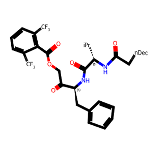 CCCCCCCCCCCC(=O)N[C@H](C(=O)N[C@@H](Cc1ccccc1)C(=O)COC(=O)c1c(C(F)(F)F)cccc1C(F)(F)F)C(C)C